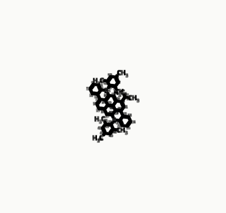 Cc1cc(C)c(B2c3ccccc3-c3ccc4cc5c6c(cc(C(C)C)c7cc2c3c4c76)-c2ccccc2B5c2c(C)cc(C)cc2C)c(C)c1